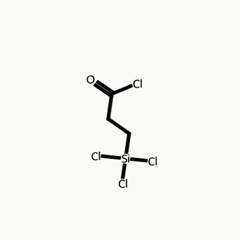 O=C(Cl)CC[Si](Cl)(Cl)Cl